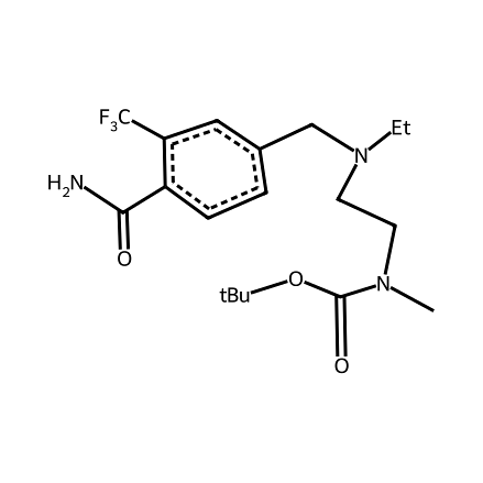 CCN(CCN(C)C(=O)OC(C)(C)C)Cc1ccc(C(N)=O)c(C(F)(F)F)c1